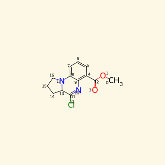 COC(=O)c1cccc2c1N=C(Cl)C1CCCN21